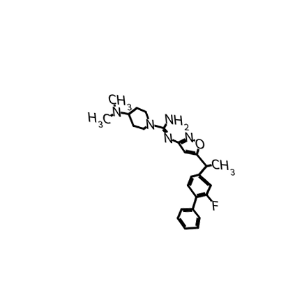 CC(c1ccc(-c2ccccc2)c(F)c1)c1cc(/N=C(\N)N2CCC(N(C)C)CC2)no1